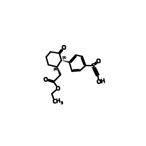 CCOC(=O)C[C@H]1CCCC(=O)[C@@H]1c1ccc(S(=O)#CO)cc1